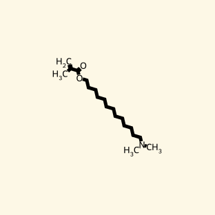 C=C(C)C(=O)OCCCCCCCCCCCCCN(C)C